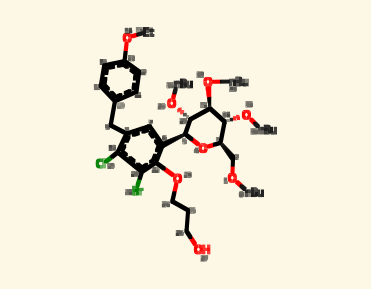 CCCCOC[C@H]1O[C@@H](c2cc(Cc3ccc(OCC)cc3)c(Cl)c(Br)c2OCCCO)[C@H](OCCCC)[C@@H](OCCCC)[C@@H]1OCCCC